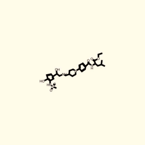 CCOC(=O)C(CC(C)C)NC(=O)c1ccc(N2CCC(CNCC(O)c3ccc(O)c(NS(C)(=O)=O)c3)CC2)cc1